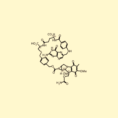 COC1=C(C)C(=O)C2=C(C1=O)[C@@H](COC(N)=O)[C@@]1(OC)[C@@H]3C(CN21)N3C(=O)OCc1ccc(SSC[C@H](NC(=O)CC[C@H](NC(=O)c2ccc(NCc3cnc4nc(N)[nH]c(=O)c4n3)cc2)C(=O)O)C(=O)O)cc1